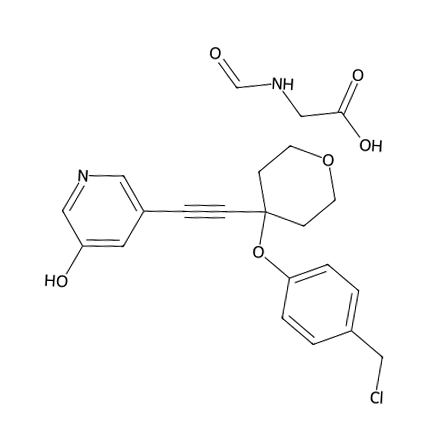 O=CNCC(=O)O.Oc1cncc(C#CC2(Oc3ccc(CCl)cc3)CCOCC2)c1